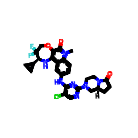 Cn1c(=O)c2c(c3cc(Nc4nc(N5CCN6C(=O)CC[C@H]6C5)ncc4Cl)ccc31)N[C@@H](C1CC1)C(F)(F)CO2